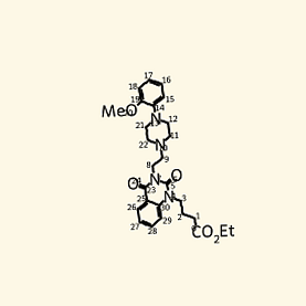 CCOC(=O)CCCn1c(=O)n(CCN2CCN(c3ccccc3OC)CC2)c(=O)c2ccccc21